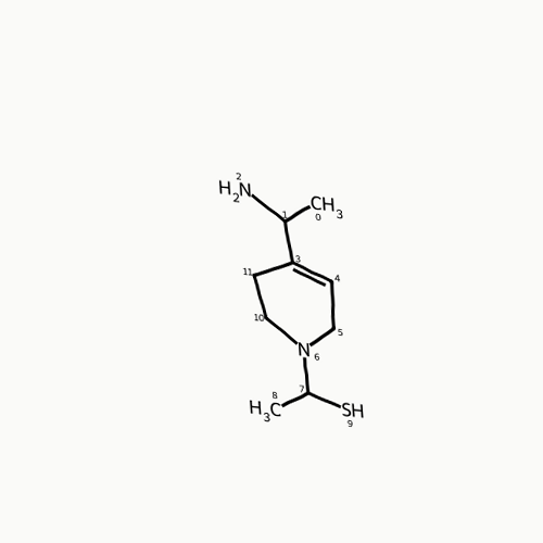 CC(N)C1=CCN(C(C)S)CC1